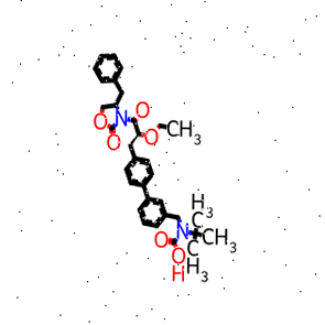 CCO[C@@H](Cc1ccc(-c2cccc(CN(C(=O)O)C(C)(C)C)c2)cc1)C(=O)N1C(=O)OCC1Cc1ccccc1